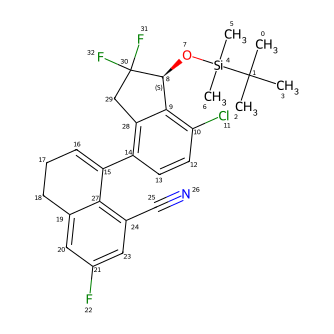 CC(C)(C)[Si](C)(C)O[C@H]1c2c(Cl)ccc(C3=CCCc4cc(F)cc(C#N)c43)c2CC1(F)F